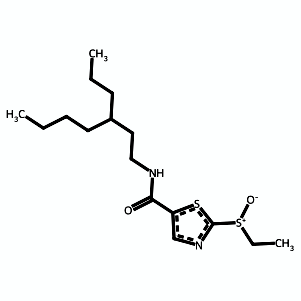 CCCCC(CCC)CCNC(=O)c1cnc([S+]([O-])CC)s1